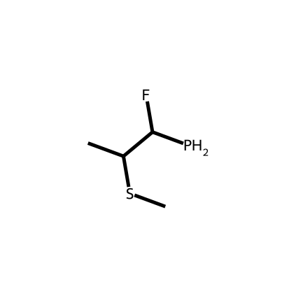 CSC(C)C(F)P